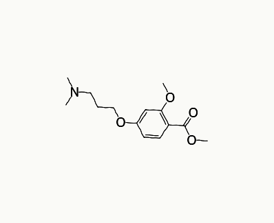 COC(=O)c1ccc(OCCCN(C)C)cc1OC